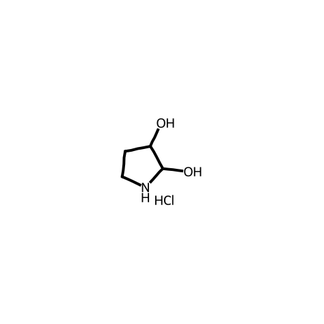 Cl.OC1CCNC1O